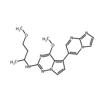 COCCC(C)Nc1nc(OC)c2c(-c3cnc4nccn4c3)ccn2n1